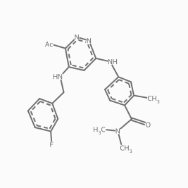 CC(=O)c1nnc(Nc2ccc(C(=O)N(C)C)c(C)c2)cc1NCc1cccc(F)c1